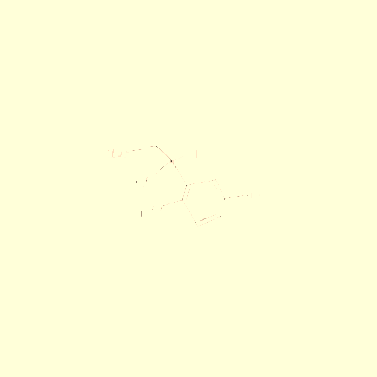 CC(C)(C)CC(C)(C)c1cc(C(C)(C)C)ccc1O